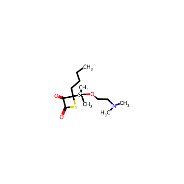 CCCCC1([Si](C)(C)OCCN(C)C)SC(=O)C1=O